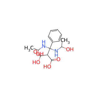 CC(O)NC(NC(C)O)(c1ccccc1)C(C(=O)O)C(=O)O